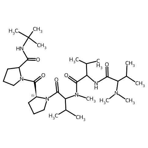 CC(C)C(NC(=O)C(C(C)C)N(C)C)C(=O)N(C)C(C(=O)N1CCC[C@H]1C(=O)N1CCCC1C(=O)NC(C)(C)C)C(C)C